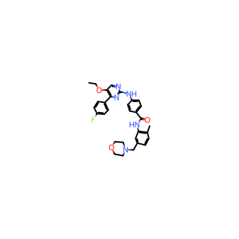 CCOc1cnc(Nc2ccc(C(=O)Nc3cc(CN4CCOCC4)ccc3C)cc2)nc1-c1ccc(F)cc1